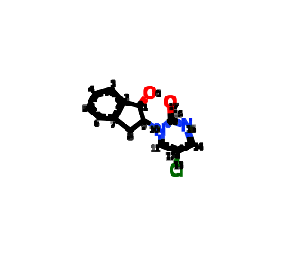 O=C1c2ccccc2CC1n1cc(Cl)cnc1=O